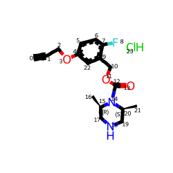 C#CCOc1ccc(F)c(COC(=O)N2[C@H](C)CNC[C@@H]2C)c1.Cl